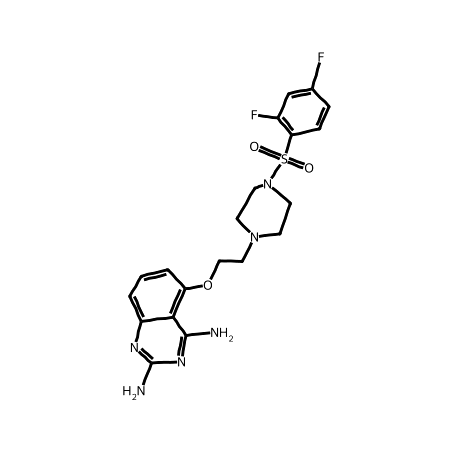 Nc1nc(N)c2c(OCCN3CCN(S(=O)(=O)c4ccc(F)cc4F)CC3)cccc2n1